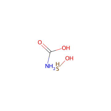 NC(=O)O.OS